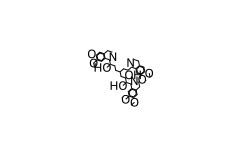 COc1cc2c(cc1OC)C(C(O)CCC(CCC(O)C1=NCCc3cc(OC)c(OC)cc31)CC(O)C1=NCCc3cc(OC)c(OC)cc31)=NCC2